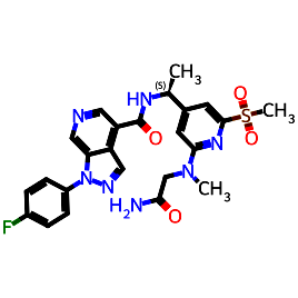 C[C@H](NC(=O)c1cncc2c1cnn2-c1ccc(F)cc1)c1cc(N(C)CC(N)=O)nc(S(C)(=O)=O)c1